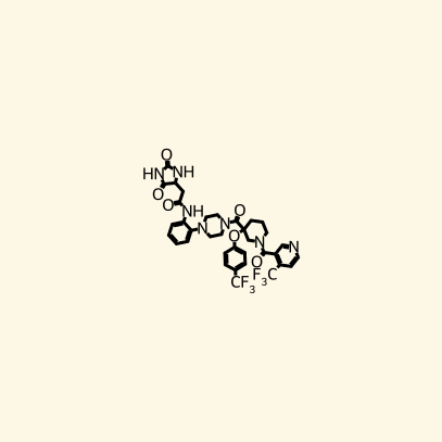 O=C(CC1NC(=O)NC1=O)Nc1ccccc1N1CCN(C(=O)C2(Oc3ccc(C(F)(F)F)cc3)CCCN(C(=O)c3cnccc3C(F)(F)F)C2)CC1